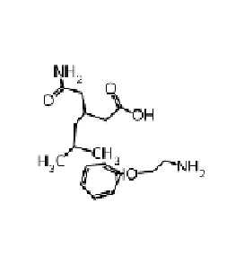 CC(C)CC(CC(N)=O)CC(=O)O.NCCO.c1ccccc1